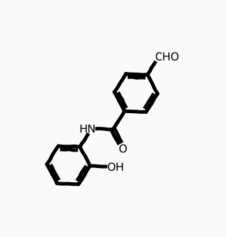 O=Cc1ccc(C(=O)Nc2ccccc2O)cc1